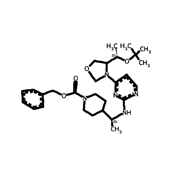 C[C@H](Nc1nccc(N2COCC2[C@H](C)OC(C)(C)C)n1)C1CCN(C(=O)OCc2ccccc2)CC1